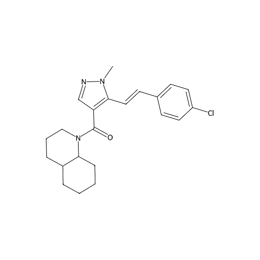 Cn1ncc(C(=O)N2CCCC3CCCCC32)c1/C=C/c1ccc(Cl)cc1